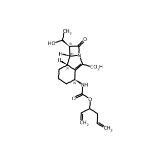 C=CCC(C=C)OC(=O)N[C@H]1CCC[C@H]2C1=C(C(=O)O)N1C(=O)[C@H](C(C)O)[C@@H]21